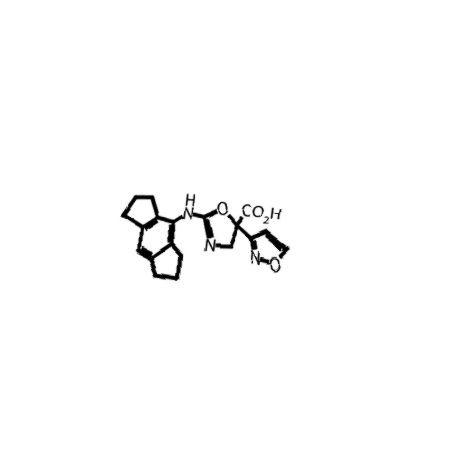 O=C(O)C1(c2ccon2)CN=C(Nc2c3c(cc4c2CCC4)CCC3)O1